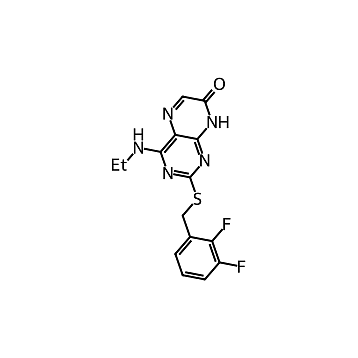 CCNc1nc(SCc2cccc(F)c2F)nc2[nH]c(=O)cnc12